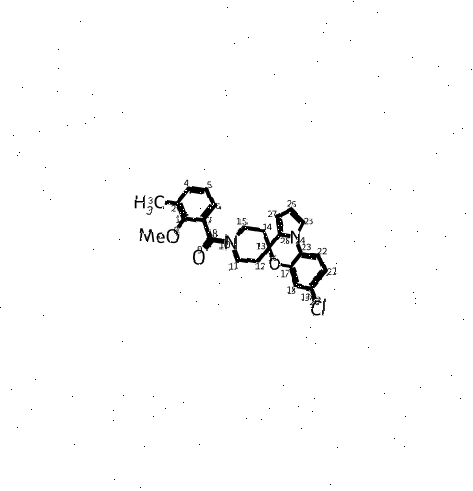 COc1c(C)cccc1C(=O)N1CCC2(CC1)Oc1cc(Cl)ccc1-n1cccc12